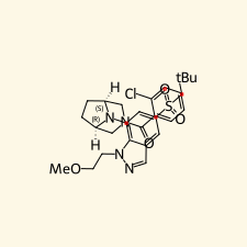 COCCn1ncc2cc(S(=O)(=O)CC(C)(C)C)cc(N3[C@@H]4CC[C@H]3CN(C(=O)c3ccccc3Cl)C4)c21